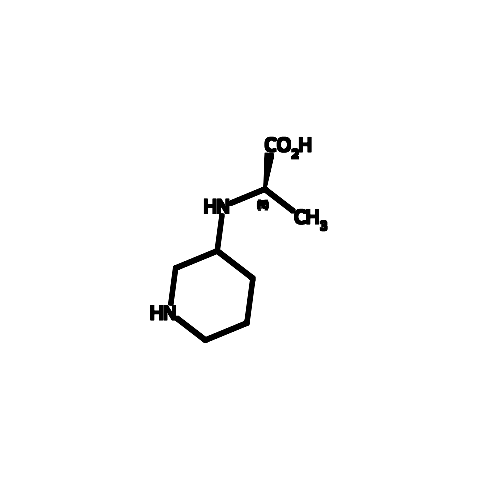 C[C@@H](NC1CCCNC1)C(=O)O